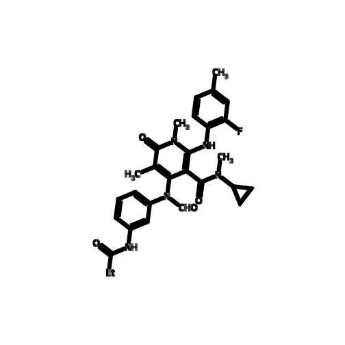 CCC(=O)Nc1cccc(N(C=O)c2c(C(=O)N(C)C3CC3)c(Nc3ccc(C)cc3F)n(C)c(=O)c2C)c1